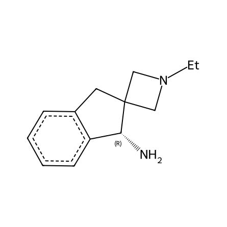 CCN1CC2(Cc3ccccc3[C@H]2N)C1